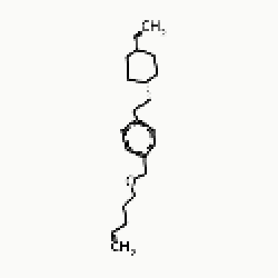 C=CCCCOCc1ccc(CC[C@H]2CC[C@H](C=C)CC2)cc1